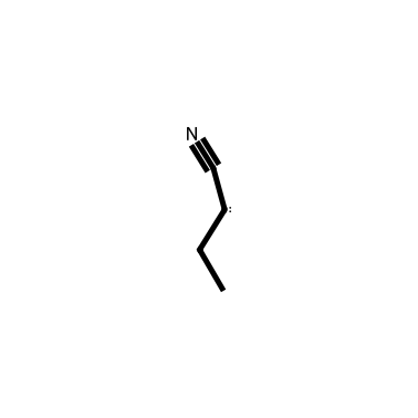 CC[C]C#N